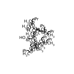 CC(C)CC(C)OP(OCC(C)OP(OC(C)COP(OC(C)CC(C)C)OC(C)CC(C)C)SCC(C)OP(OC(C)CSP(=O)(OC(C)COP(OC(C)CC(C)C)OC(C)CC(C)C)OC(C)COP(OC(C)CC(C)C)OC(C)CC(C)C)SCCC(=O)O)OC(C)CC(C)C